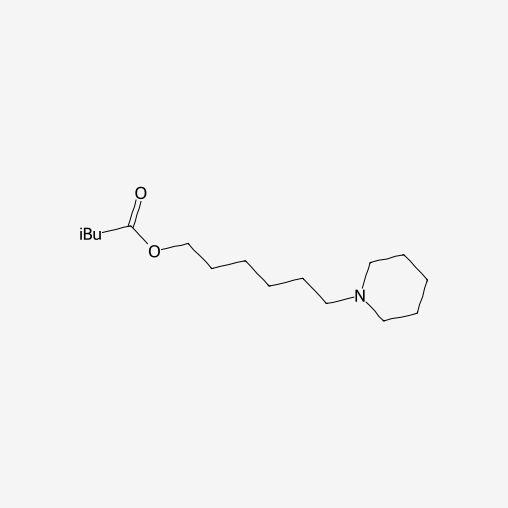 CCC(C)C(=O)OCCCCCCN1CCCCC1